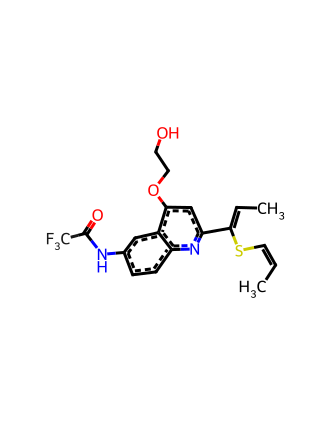 C/C=C\S/C(=C\C)c1cc(OCCO)c2cc(NC(=O)C(F)(F)F)ccc2n1